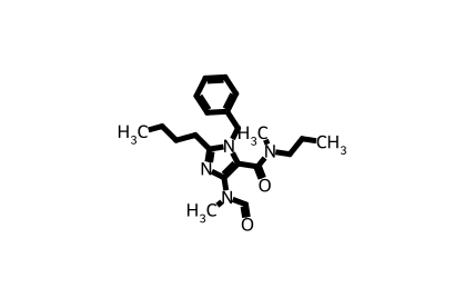 CCCCc1nc(N(C)C=O)c(C(=O)N(C)CCC)n1Cc1ccccc1